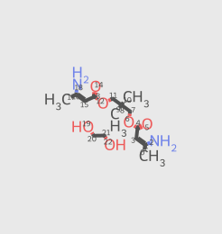 C/C(N)=C/C(=O)OCC(C)(C)COC(=O)/C=C(/C)N.OCCO